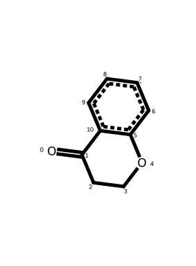 O=C1CCOc2c[c]ccc21